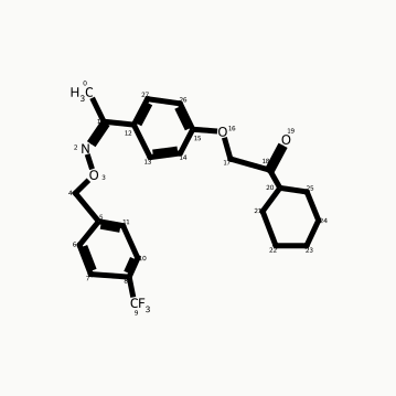 CC(=NOCc1ccc(C(F)(F)F)cc1)c1ccc(OCC(=O)C2CCCCC2)cc1